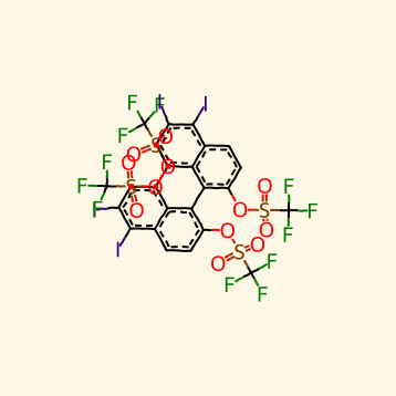 O=S(=O)(Oc1ccc2c(I)c(I)cc(OS(=O)(=O)C(F)(F)F)c2c1-c1c(OS(=O)(=O)C(F)(F)F)ccc2c(I)c(I)cc(OS(=O)(=O)C(F)(F)F)c12)C(F)(F)F